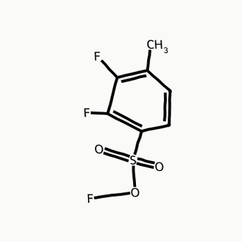 Cc1ccc(S(=O)(=O)OF)c(F)c1F